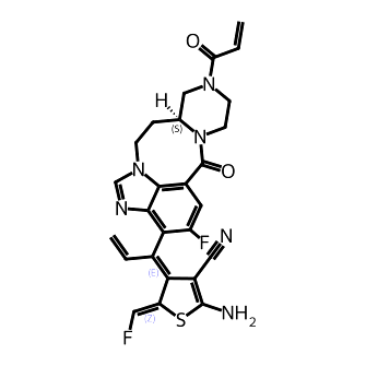 C=CC(=O)N1CCN2C(=O)c3cc(F)c(/C(C=C)=c4\c(C#N)c(N)s\c4=C/F)c4ncn(c34)CC[C@H]2C1